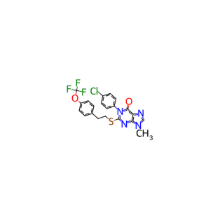 Cn1cnc2c(=O)n(-c3ccc(Cl)cc3)c(SCCc3ccc(OC(F)(F)F)cc3)nc21